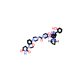 Nc1nnc(-c2ccccc2O)cc1N1C[C@H]2CC[C@@H](C1)N2c1cccc(OC2CCN(C(=O)CN3CCN(c4cccc5c4OCCN5[C@H]4CCC(=O)NC4=O)CC3)CC2)c1